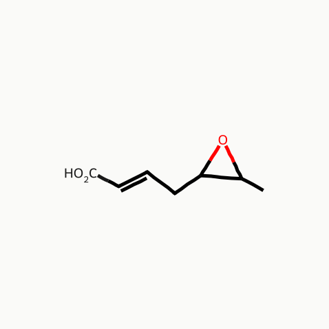 CC1OC1CC=CC(=O)O